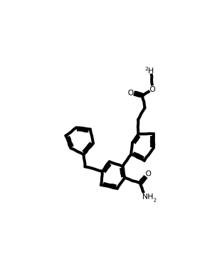 [2H]OC(=O)CCc1cccc(-c2cc(Cc3ccccc3)ccc2C(N)=O)c1